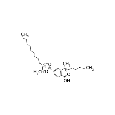 CCCCCCCCCC[C@H]1CO[C@H](c2ccc(C(=O)O)c([C@H](C)CCCCCC)c2)O[C@@H]1C